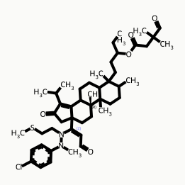 CCC(CCC1(C)C(C)CCC2(C)C1CCC1C3=C(C(C)C)C(=O)CC3(/C(=C/C=O)N(CCSC)N(C)c3ccc(Cl)cc3)CC[C@]12C)OC(=O)CC(C)(C)C=O